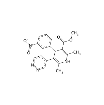 COC(=O)C1=C(C)NC(C)=C(c2ccnnc2)C1c1cccc([N+](=O)[O-])c1